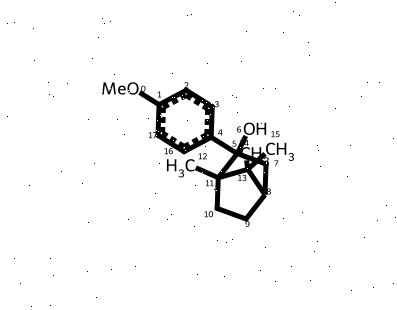 COc1ccc(C2(O)CC3CCC2(C)C3(C)C)cc1